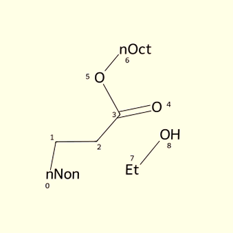 CCCCCCCCCCCC(=O)OCCCCCCCC.CCO